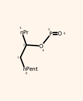 CCCCCCC(CCC)OP=O